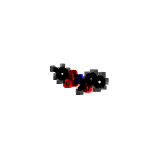 Cc1ccc(S(=O)(=O)O/N=C2/c3ccc4c(c3OC2C)=CCCC=4)cc1